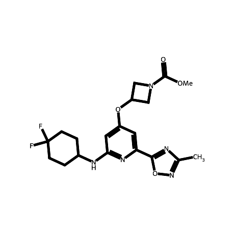 COC(=O)N1CC(Oc2cc(NC3CCC(F)(F)CC3)nc(-c3nc(C)no3)c2)C1